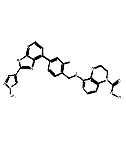 Cn1cc(-c2nc3c(-c4ccc(CNc5nccc6c5OCCN6C(=O)OC(C)(C)C)c(F)c4)ccnc3[nH]2)cn1